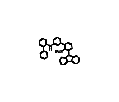 CSc1c(-c2cccc(Nc3ccccc3-c3ccccc3)c2)cccc1-n1c2ccccc2c2ccccc21